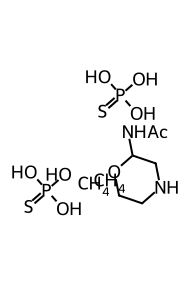 C.C.CC(=O)NC1CNCCO1.OP(O)(O)=S.OP(O)(O)=S